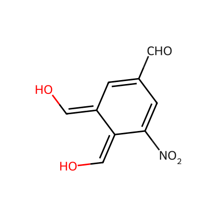 O=Cc1cc([N+](=O)[O-])c(=CO)c(=CO)c1